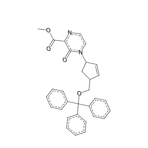 COC(=O)c1nccn(C2C=CC(COC(c3ccccc3)(c3ccccc3)c3ccccc3)C2)c1=O